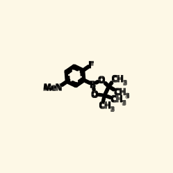 CNc1ccc(F)c(B2OC(C)(C)C(C)(C)O2)c1